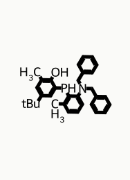 Cc1cc(C(C)(C)C)cc(Pc2c(C)cccc2N(Cc2ccccc2)Cc2ccccc2)c1O